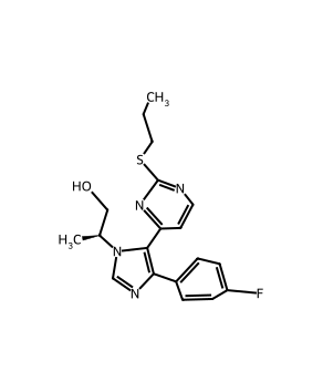 CCCSc1nccc(-c2c(-c3ccc(F)cc3)ncn2[C@@H](C)CO)n1